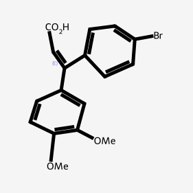 COc1ccc(/C(=C/C(=O)O)c2ccc(Br)cc2)cc1OC